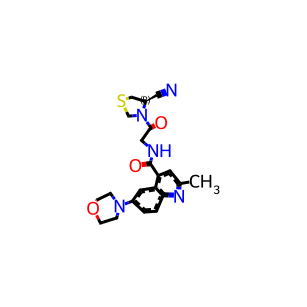 Cc1cc(C(=O)NCC(=O)N2CSC[C@H]2C#N)c2cc(N3CCOCC3)ccc2n1